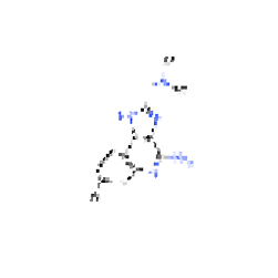 CCc1ccc2c(c1)nc(N)c1nc(CN(CC)C(C)=O)[nH]c12